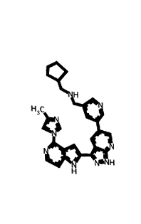 Cc1cn(-c2nccc3[nH]c(-c4n[nH]c5ncc(-c6cncc(CNCC7CCCC7)c6)cc45)cc23)cn1